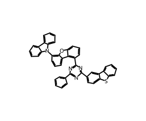 c1ccc(-c2nc(-c3ccc4sc5ccccc5c4c3)nc(-c3cccc4oc5c(-n6c7ccccc7c7ccccc76)cccc5c34)n2)cc1